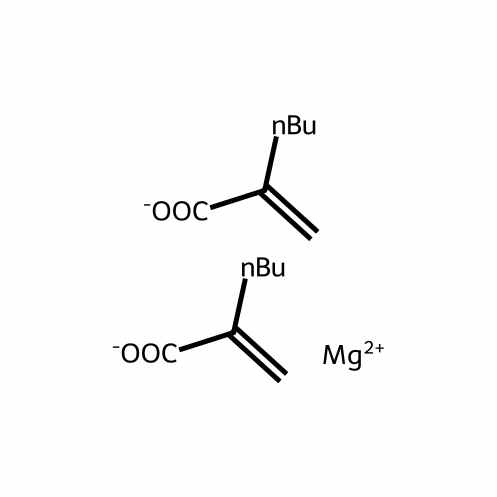 C=C(CCCC)C(=O)[O-].C=C(CCCC)C(=O)[O-].[Mg+2]